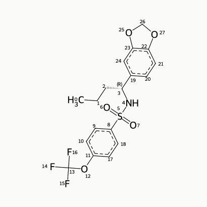 CCC[C@@H](NS(=O)(=O)c1ccc(OC(F)(F)F)cc1)c1ccc2c(c1)OCO2